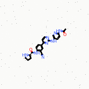 CC(=O)Nc1ccc(Nc2nccc(-c3ccc(NC(=O)[C@H]4CCCN4)c(C#N)c3)n2)cn1